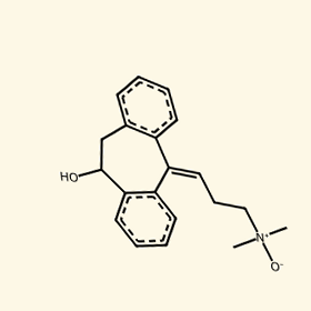 C[N+](C)([O-])CC/C=C1/c2ccccc2CC(O)c2ccccc21